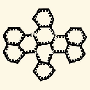 c1cc2cccc3c2c(c1)n1c2ccccc2n2c4cccc5cccc(c54)n4c5ccccc5n3c1c24